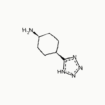 N[C@H]1CC[C@@H](c2nnn[nH]2)CC1